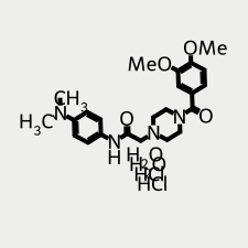 COc1ccc(C(=O)N2CCN(CC(=O)Nc3ccc(N(C)C)cc3)CC2)cc1OC.Cl.Cl.O.O